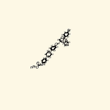 CCCOC(=O)Nc1ccc(N2CCN(c3ccc(OC[C@@H]4CO[C@@](Cn5cncn5)(c5ccc(Br)cc5)O4)cc3)CC2)cc1